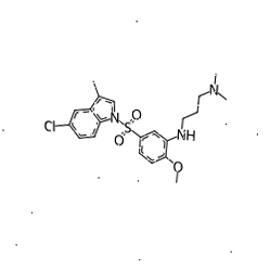 COc1ccc(S(=O)(=O)n2cc(C)c3cc(Cl)ccc32)cc1NCCCN(C)C